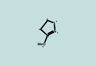 COC1=NS[C]C1